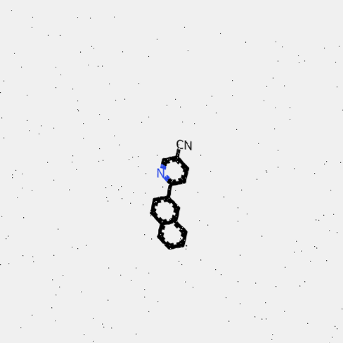 N#Cc1ccc(-c2ccc3cc[c]cc3c2)nc1